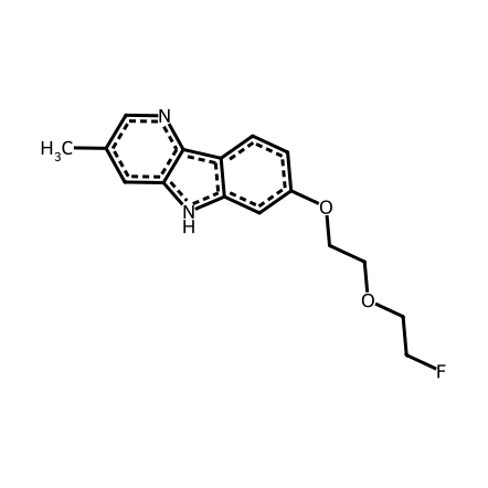 Cc1cnc2c(c1)[nH]c1cc(OCCOCCF)ccc12